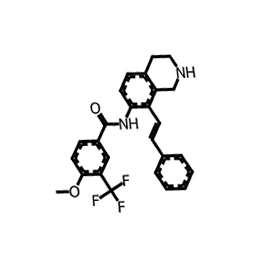 COc1ccc(C(=O)Nc2ccc3c(c2C=Cc2ccccc2)CNCC3)cc1C(F)(F)F